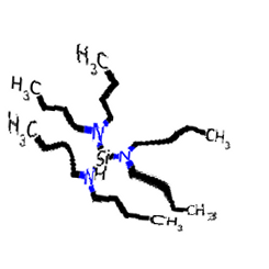 CCCCN(CCCC)[SiH](N(CCCC)CCCC)N(CCCC)CCCC